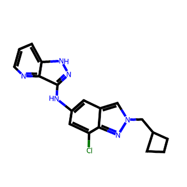 Clc1cc(Nc2n[nH]c3cccnc23)cc2cn(CC3CCC3)nc12